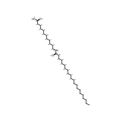 CCCCCCCCCCCCCCCCCCCCCC(=O)NCCCCCCCCCCCC(=O)O